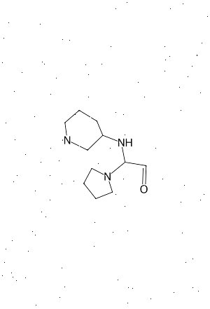 O=CC(NC1CCC[N]C1)N1CCCC1